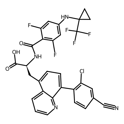 N#Cc1ccc(-c2ccc(C[C@H](NC(=O)c3c(F)cc(NC4(C(F)(F)F)CC4)cc3F)C(=O)O)c3cccnc23)c(Cl)c1